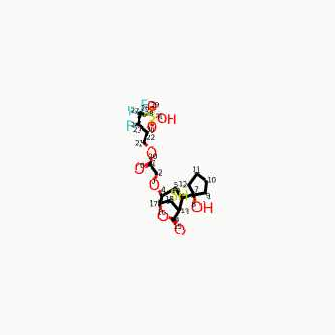 O=C(COC1CC(C2(O)CCCC2)C2C(=O)OC1C2S)OCCC(F)C(F)(F)S(=O)(=O)O